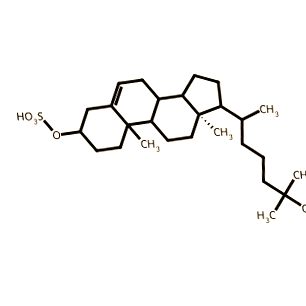 CC(CCCC(C)(C)O)C1CCC2C3CC=C4CC(OS(=O)(=O)O)CCC4(C)C3CC[C@]12C